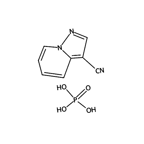 N#Cc1cnn2ccccc12.O=P(O)(O)O